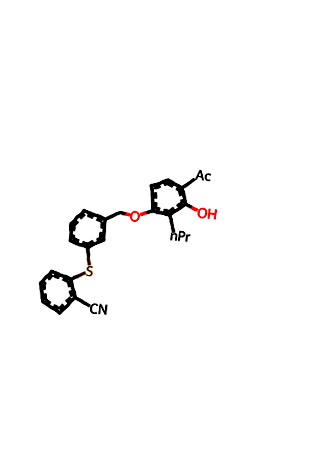 CCCc1c(OCc2cccc(Sc3ccccc3C#N)c2)ccc(C(C)=O)c1O